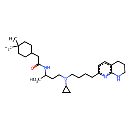 CC1(C)CCC(CC(=O)NC(CCN(CCCCc2ccc3c(n2)NCCC3)C2CC2)C(=O)O)CC1